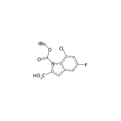 CC(C)(C)OC(=O)n1c(C(=O)O)cc2cc(F)cc(Cl)c21